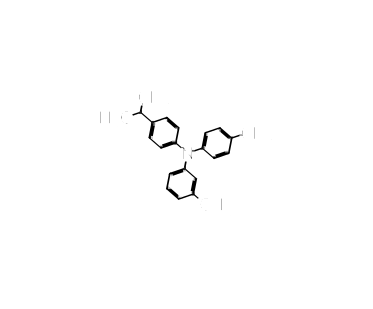 Cc1ccc(N(c2ccc(C(C)C)cc2)c2cccc(C)c2)cc1